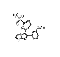 COc1cccc(-c2nc3sccn3c2-c2ccnc(S(C)(=O)=O)n2)c1